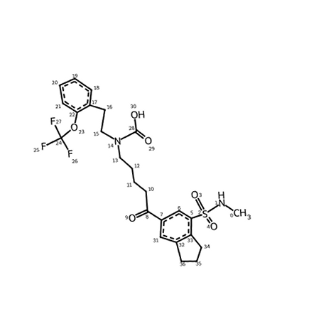 CNS(=O)(=O)c1cc(C(=O)CCCCN(CCc2ccccc2OC(F)(F)F)C(=O)O)cc2c1CCC2